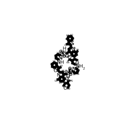 Cc1c(-c2cc(C(=O)NS(=O)(=O)c3cccc(Nc4cccc5oc(-c6cc(C(=O)NS(=O)(=O)c7cccc(N)n7)c7c(O[C@H](C)C8CCOCC8)ccc(C)c7n6)c(C)c45)n3)c3c(O[C@H](C)C4CCOCC4)ccc(C)c3n2)sc2ccccc12